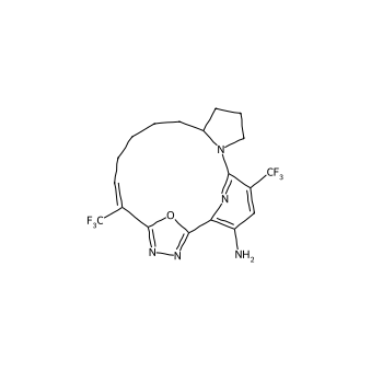 Nc1cc(C(F)(F)F)c2nc1-c1nnc(o1)C(C(F)(F)F)=CCCCCC1CCCN21